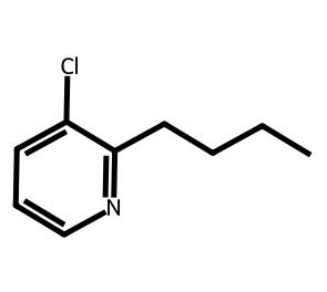 CCCCc1ncccc1Cl